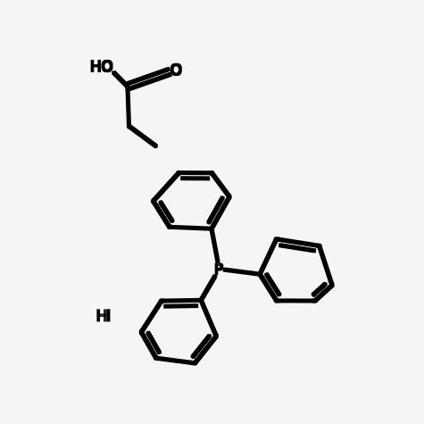 CCC(=O)O.I.c1ccc(P(c2ccccc2)c2ccccc2)cc1